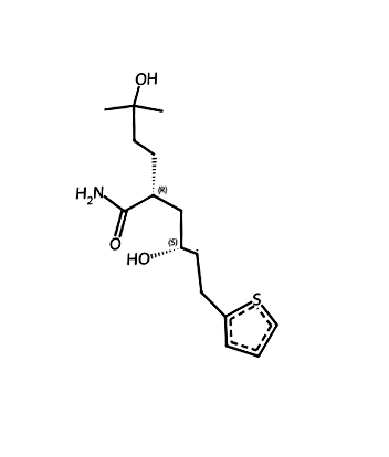 CC(C)(O)CC[C@H](C[C@@H](O)[CH]Cc1cccs1)C(N)=O